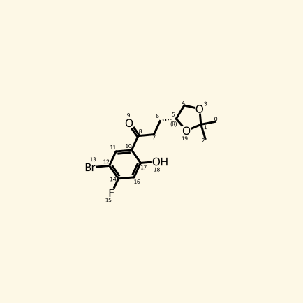 CC1(C)OC[C@@H](CCC(=O)c2cc(Br)c(F)cc2O)O1